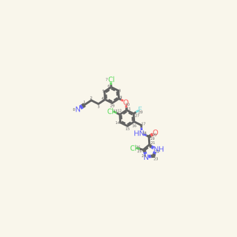 N#CCCc1cc(Cl)cc(Oc2c(Cl)ccc(CNC(=O)c3[nH]cnc3Cl)c2F)c1